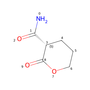 NC(=O)[C@@H]1CCCOC1=O